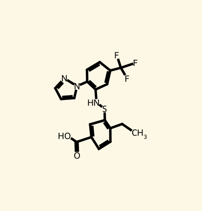 CCc1ccc(C(=O)O)cc1SNc1cc(C(F)(F)F)ccc1-n1cccn1